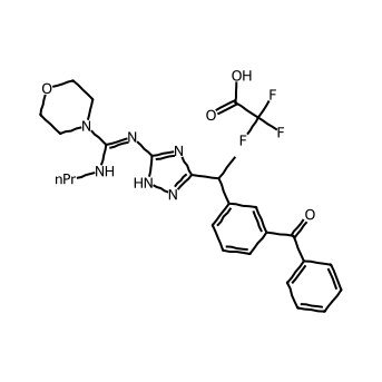 CCCN/C(=N\c1nc(C(C)c2cccc(C(=O)c3ccccc3)c2)n[nH]1)N1CCOCC1.O=C(O)C(F)(F)F